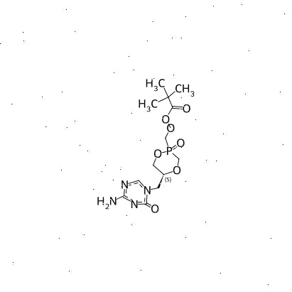 CC(C)(C)C(=O)OOCP1(=O)CO[C@@H](Cn2cnc(N)nc2=O)CO1